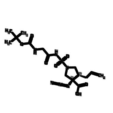 C=CC[C@H]1CN(S(=O)(=O)NC(=O)CNC(=O)OC(C)(C)C)C[C@@]1(N=[N+]=[N-])C(=O)O